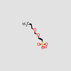 C=CCOCOC=CS(=O)(=O)O